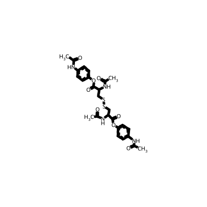 CC(=O)Nc1ccc(OC(=O)C(CSSCC(NC(C)=O)C(=O)Oc2ccc(NC(C)=O)cc2)NC(C)=O)cc1